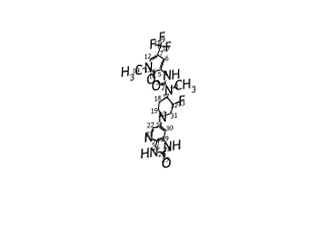 CN(C(=O)Nc1cc(C(F)(F)F)cn(C)c1=O)[C@@H]1CCN(c2cnc3[nH]c(=O)[nH]c3c2)C[C@@H]1F